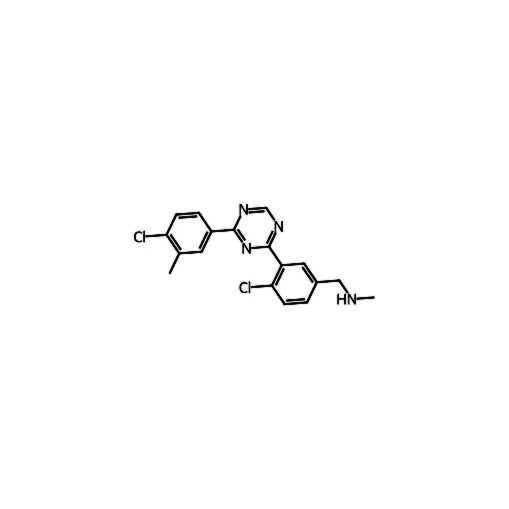 CNCc1ccc(Cl)c(-c2ncnc(-c3ccc(Cl)c(C)c3)n2)c1